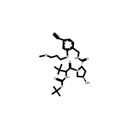 C#Cc1ccc(CNC(=O)[C@@H]2C[C@@H](O)CN2C(=O)C(NC(=O)OC(C)(C)C)C(C)(C)C)c(OCCCOC)c1